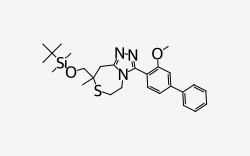 COc1cc(-c2ccccc2)ccc1-c1nnc2n1CCSC(C)(CO[Si](C)(C)C(C)(C)C)C2